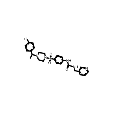 CC(c1ccc(Cl)cc1)N1CCN(S(=O)(=O)c2ccc(NC(=O)NCc3cccnc3)cc2)CC1